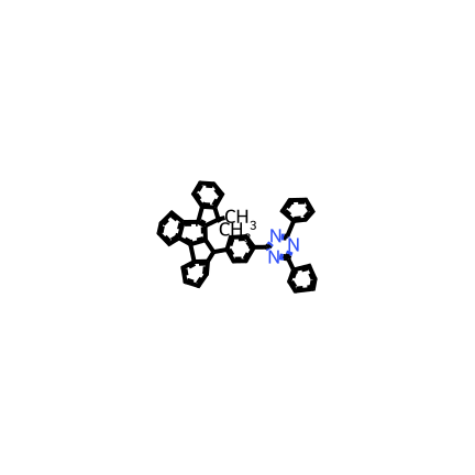 CC1(C)c2ccccc2-c2c1c1c(c3ccccc23)-c2ccccc2C1c1ccc(-c2nc(-c3ccccc3)nc(-c3ccccc3)n2)cc1